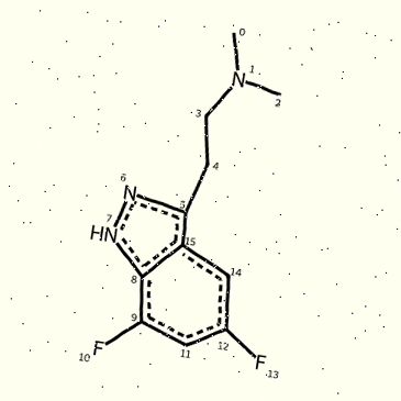 CN(C)CCc1n[nH]c2c(F)cc(F)cc12